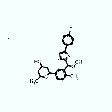 Cc1ccc(C2CC(O)CC(C)O2)cc1C(OO)c1ccc(-c2ccc(F)cc2)s1